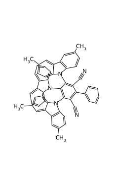 Cc1ccc2c(c1)c1cc(C)ccc1n2-c1c(C#N)c(-c2ccccc2)c(C#N)c(-n2c3ccc(C)cc3c3cc(C)ccc32)c1-n1c2ccccc2c2ccccc21